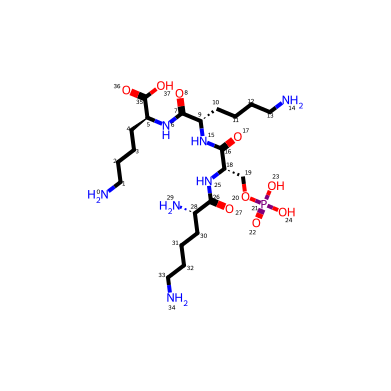 NCCCC[C@H](NC(=O)[C@H](CCCCN)NC(=O)[C@H](COP(=O)(O)O)NC(=O)[C@@H](N)CCCCN)C(=O)O